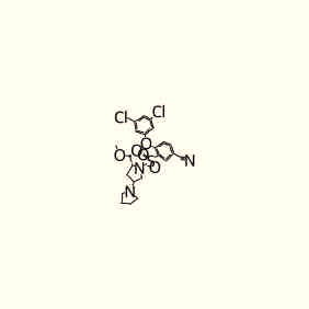 COC(=O)[C@@H]1C[C@H](N2CCCC2)CN1S(=O)(=O)c1cc(C#N)ccc1Oc1cc(Cl)cc(Cl)c1